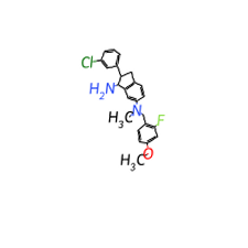 COc1ccc(CN(C)c2ccc3c(c2)C(N)C(c2cccc(Cl)c2)C3)c(F)c1